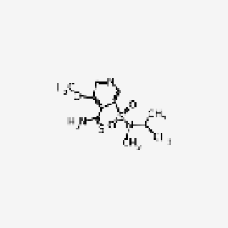 COc1cncc(S(=O)(=O)N(C)C(C)C)c1C(N)=S